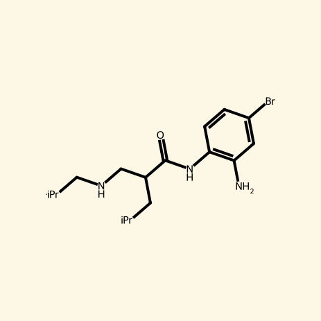 C[C](C)CNCC(CC(C)C)C(=O)Nc1ccc(Br)cc1N